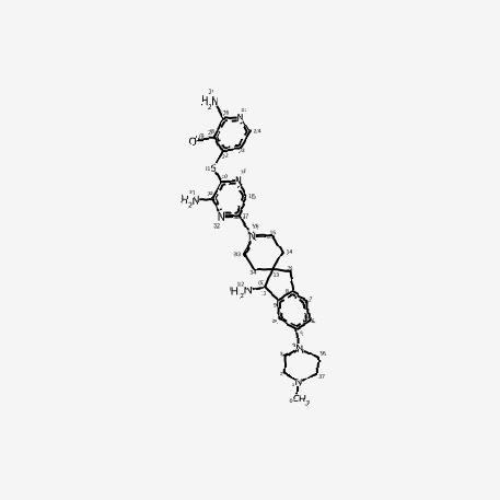 CN1CCN(c2ccc3c(c2)[C@@H](N)C2(CCN(c4cnc(Sc5ccnc(N)c5Cl)c(N)n4)CC2)C3)CC1